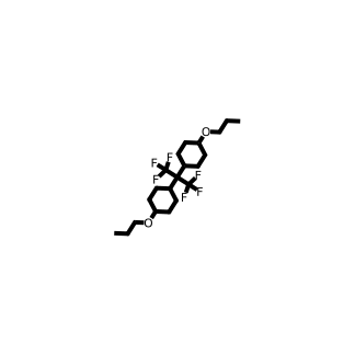 CCCOC1CCC(C(C2CCC(OCCC)CC2)(C(F)(F)F)C(F)(F)F)CC1